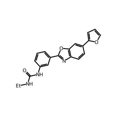 CCNC(=O)Nc1cccc(-c2nc3ccc(-c4ccco4)cc3o2)c1